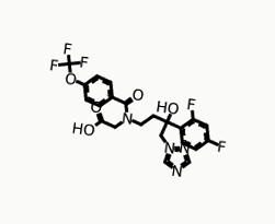 O=C(O)CN(CCC(O)(Cn1cncn1)c1ccc(F)cc1F)C(=O)c1ccc(OC(F)(F)F)cc1